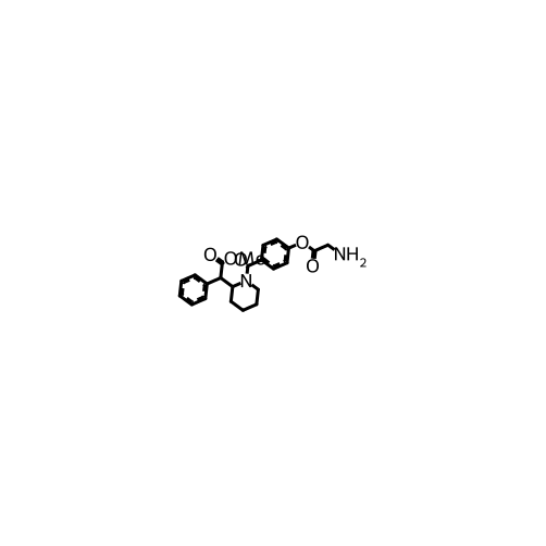 COC(=O)C(c1ccccc1)C1CCCCN1C(=O)c1ccc(OC(=O)CN)cc1